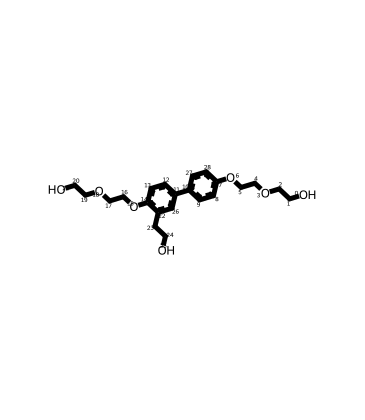 OCCOCCOc1ccc(-c2ccc(OCCOCCO)c(CCO)c2)cc1